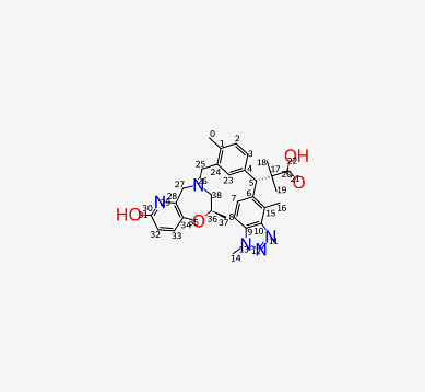 Cc1ccc([C@@H](c2ccc3c(nnn3C)c2C)C(C)(C)C(=O)O)cc1CN1Cc2nc(O)ccc2O[C@H](C)C1